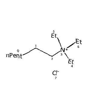 CCCCCCC[N+](CC)(CC)CC.[Cl-]